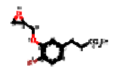 CCOC(=O)CCc1ccc(Br)c(OC[C@H]2CO2)c1